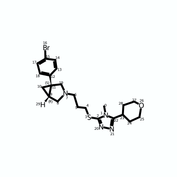 Cn1c(SCCCN2C[C@@H]3C[C@]3(c3ccc(Br)cc3)C2)nnc1C1CCOCC1